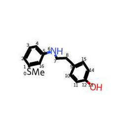 CSc1cccc(NCCc2ccc(O)cc2)c1